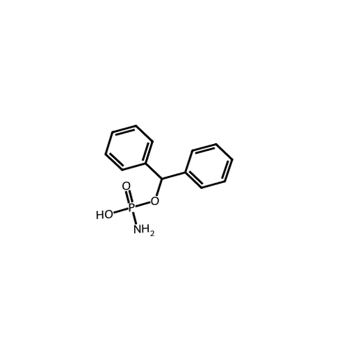 NP(=O)(O)OC(c1ccccc1)c1ccccc1